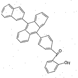 O=C(c1ccc(-c2c3ccccc3c(-c3ccc4ccccc4c3)c3ccccc23)cc1)c1ccccc1O